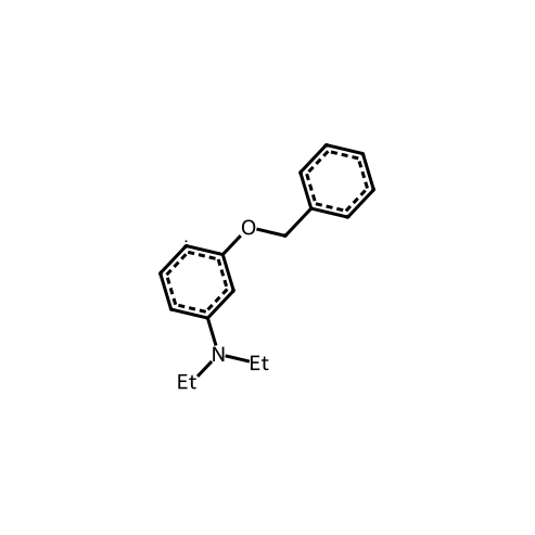 CCN(CC)c1cc[c]c(OCc2ccccc2)c1